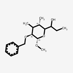 CCC(O)C1O[C@H](OC)[C@@H](OCc2ccccc2)C(C)[C@@H]1C